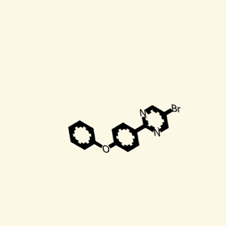 Brc1cnc(-c2ccc(Oc3ccccc3)cc2)nc1